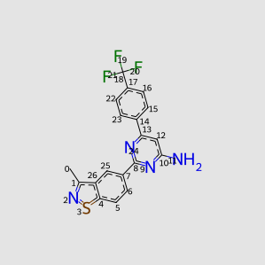 Cc1nsc2ccc(-c3nc(N)cc(-c4ccc(C(F)(F)F)cc4)n3)cc12